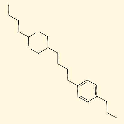 CCCCC1OCC(CCCCc2ccc(CCC)cc2)CO1